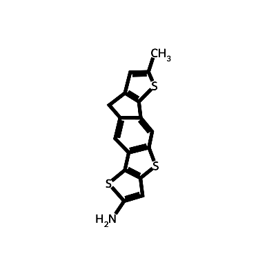 Cc1cc2c(s1)-c1cc3sc4cc(N)sc4c3cc1C2